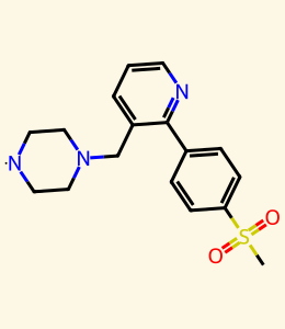 CS(=O)(=O)c1ccc(-c2ncccc2CN2CC[N]CC2)cc1